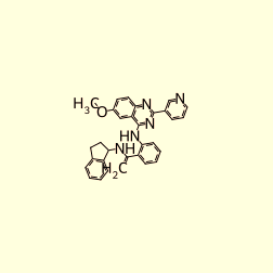 C=C(NC1CCc2ccccc21)c1ccccc1Nc1nc(-c2cccnc2)nc2ccc(OC)cc12